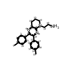 Cc1ccc(-c2nc3c(nc2-c2ccc(C)cc2)N(CCN)CCC3)cc1